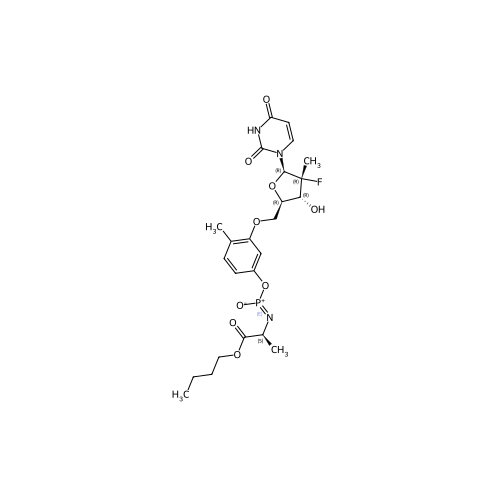 CCCCOC(=O)[C@H](C)/N=[P+](\[O-])Oc1ccc(C)c(OC[C@H]2O[C@@H](n3ccc(=O)[nH]c3=O)[C@](C)(F)[C@@H]2O)c1